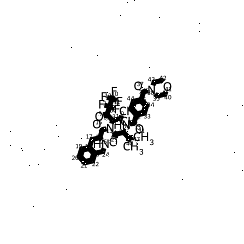 CC(C)C(C(=O)C(F)(F)C(F)(F)F)N(C(=O)C1Cc2ccccc2CN1)C(=O)[C@@H](NC(=O)c1ccc(C(=O)N2CCOCC2)cc1)C(C)C